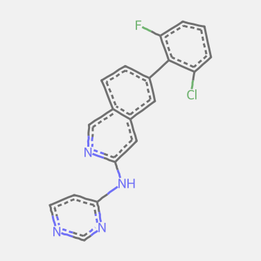 Fc1cccc(Cl)c1-c1ccc2cnc(Nc3ccncn3)cc2c1